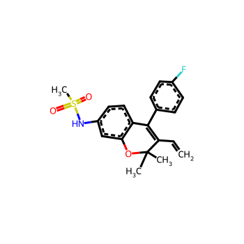 C=CC1=C(c2ccc(F)cc2)c2ccc(NS(C)(=O)=O)cc2OC1(C)C